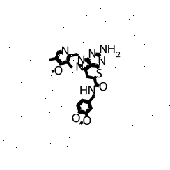 COc1c(C)cnc(Cn2nc3c4c(nc(N)nc42)SC(C(=O)NCc2ccc4c(c2)OCO4)C3)c1C